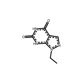 CCn1ncc2c(=O)[nH]c(=O)[nH]c21